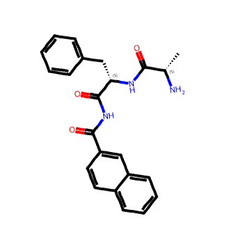 C[C@H](N)C(=O)N[C@@H](Cc1ccccc1)C(=O)NC(=O)c1ccc2ccccc2c1